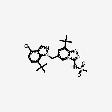 CC(C)(C)c1ccc(Cl)c2cnn(Cc3cc(C(C)(C)C)c4nnc(NS(C)(=O)=O)n4c3)c12